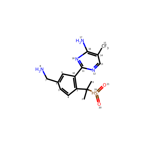 CC(C)(c1ccc(CN)cc1-c1ncc(C(F)(F)F)c(N)n1)[SH](=O)=O